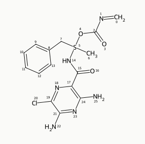 C=NC(=O)OS(C)(Cc1ccccc1)NC(=O)c1nc(Cl)c(N)nc1N